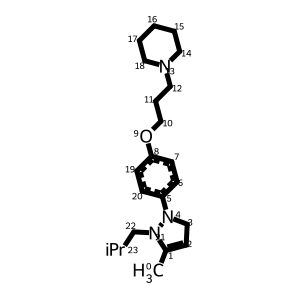 CC1=CCN(c2ccc(OCCCN3CCCCC3)cc2)N1CC(C)C